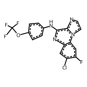 Fc1cc2c(cc1Cl)nc(Nc1ccc(OC(F)(F)F)cc1)c1nccn12